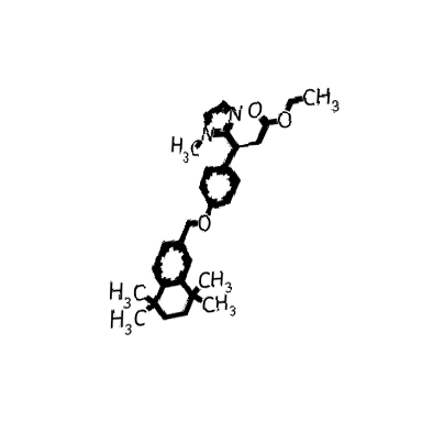 CCOC(=O)C[C@@H](c1ccc(OCc2ccc3c(c2)C(C)(C)CCC3(C)C)cc1)c1nccn1C